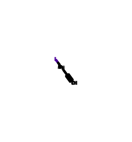 C#[C][Mg][I]